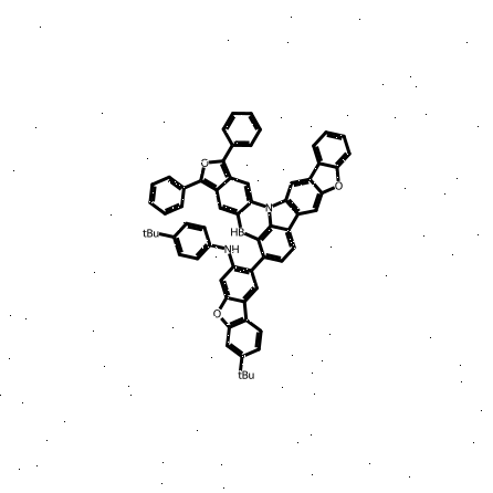 CC(C)(C)c1ccc(Nc2cc3oc4cc(C(C)(C)C)ccc4c3cc2-c2ccc3c4cc5oc6ccccc6c5cc4n4c3c2Bc2cc3c(-c5ccccc5)oc(-c5ccccc5)c3cc2-4)cc1